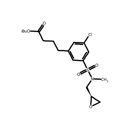 CC(C)COC(=O)CCCc1cc(Cl)cc(S(=O)(=O)N(C)C[C@H]2CO2)c1